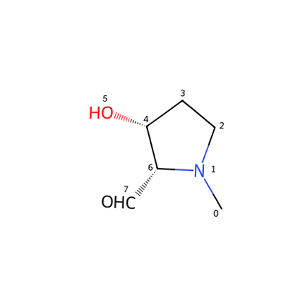 CN1CC[C@@H](O)[C@H]1C=O